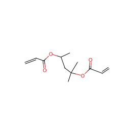 C=CC(=O)OC(C)CC(C)(C)OC(=O)C=C